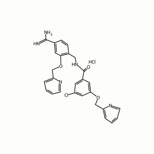 Cl.N=C(N)c1ccc(CNC(=O)c2cc(Cl)cc(OCc3ccccn3)c2)c(OCc2ccccn2)c1